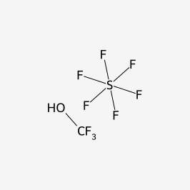 FS(F)(F)(F)(F)F.OC(F)(F)F